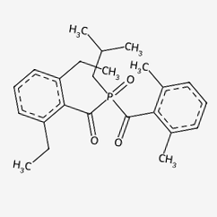 CCc1cccc(CC)c1C(=O)P(=O)(CC(C)C)C(=O)c1c(C)cccc1C